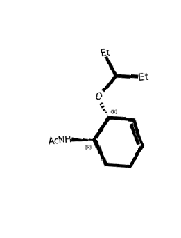 CCC(CC)O[C@@H]1C=CCC[C@H]1NC(C)=O